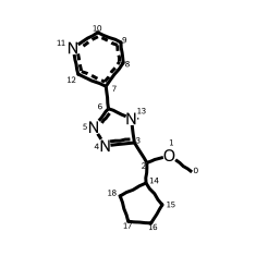 COC(C1=NN=C(c2cccnc2)[N]1)C1CCCC1